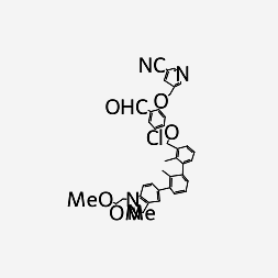 COC(Cn1ncc2cc(-c3cccc(-c4cccc(COc5cc(OCc6cncc(C#N)c6)c(C=O)cc5Cl)c4C)c3C)ccc21)OC